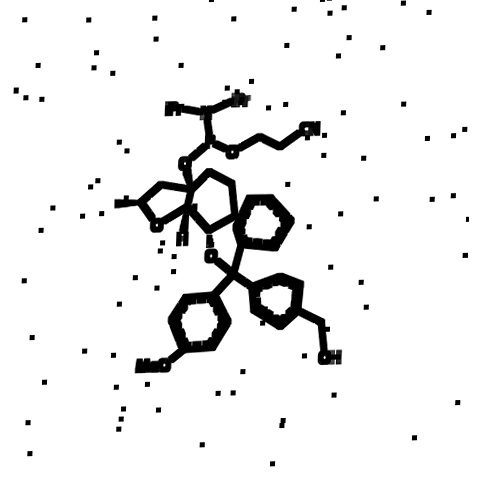 COc1ccc(C(O[C@H]2CCC[C@@]3(OP(OCCC#N)N(C(C)C)C(C)C)C[C@H](C)O[C@@H]23)(c2ccccc2)c2ccc(CO)cc2)cc1